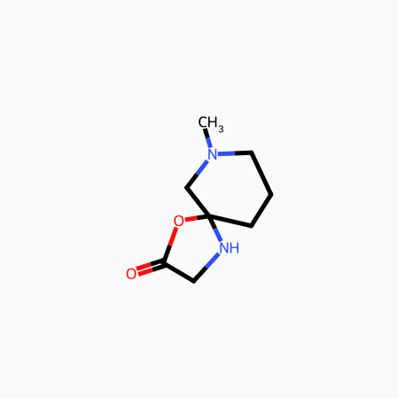 CN1CCCC2(C1)NCC(=O)O2